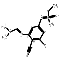 CCS(C)(=O)=Nc1cc(Cl)c(C#N)c(N=CN(C)C)c1